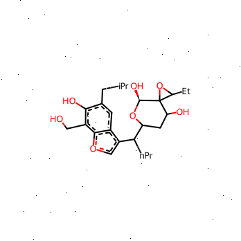 CCCC(c1coc2c(CO)c(O)c(CC(C)C)cc12)C1CC(O)C2(OC2CC)[C@H](O)O1